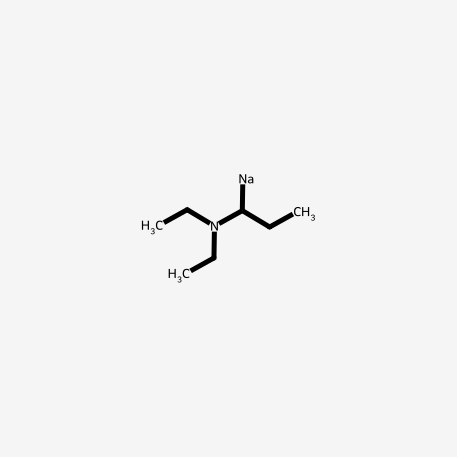 CC[CH]([Na])N(CC)CC